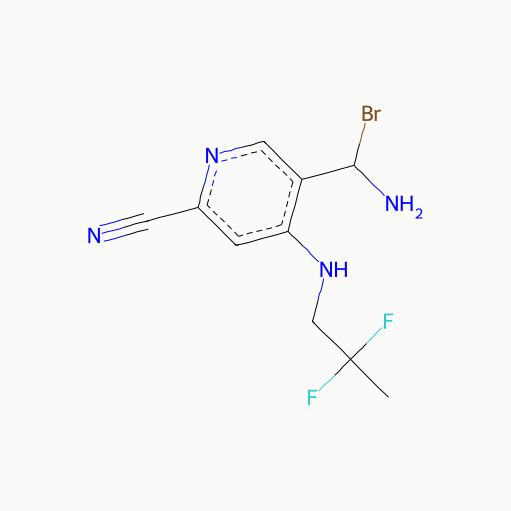 CC(F)(F)CNc1cc(C#N)ncc1C(N)Br